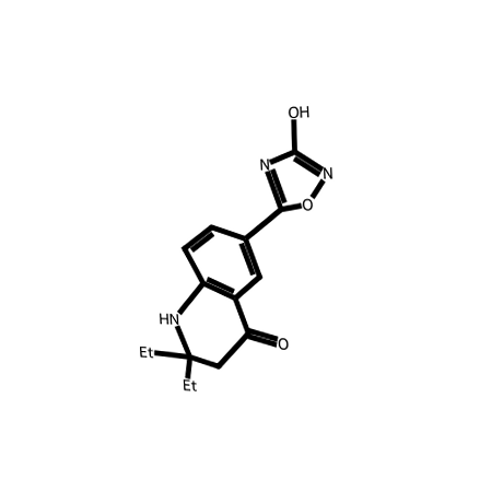 CCC1(CC)CC(=O)c2cc(-c3nc(O)no3)ccc2N1